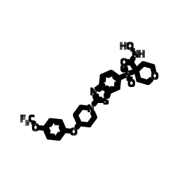 O=C(NO)C1(S(=O)(=O)c2ccc3nc(N4CCC(Oc5ccc(OC(F)(F)F)cc5)CC4)sc3c2)CCOCC1